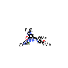 CCN1CC[C@H](NC(=O)c2cc(C#CCNc3ccc(C(=O)NC)cc3OC)cc3c2ncn3CC(F)(F)F)[C@@H](F)C1